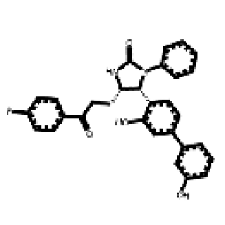 O=C(CC[C@@H]1NC(=O)N(c2ccccc2)[C@@H]1c1ccc(-c2cccc(O)c2)cc1O)c1ccc(F)cc1